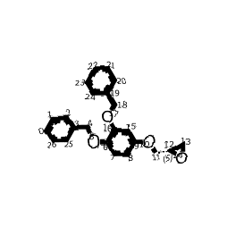 c1ccc(COc2ccc(OC[C@@H]3CO3)cc2OCc2ccccc2)cc1